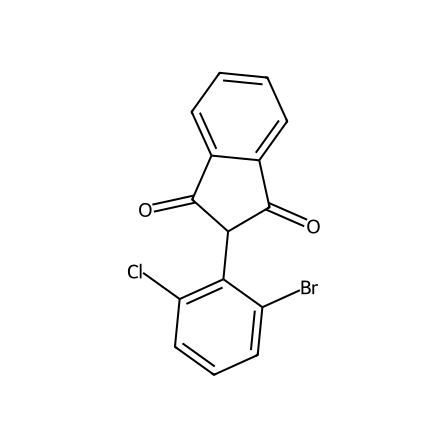 O=C1c2ccccc2C(=O)C1c1c(Cl)cccc1Br